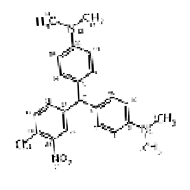 CN(C)c1ccc(C(c2ccc(N(C)C)cc2)c2ccc(Cl)c([N+](=O)[O-])c2)cc1